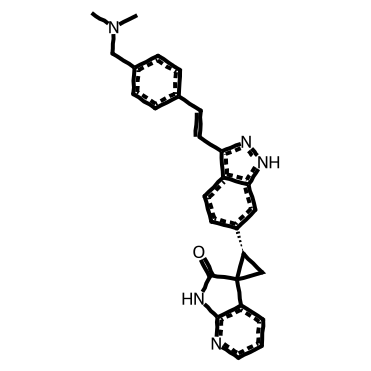 CN(C)Cc1ccc(/C=C/c2n[nH]c3cc([C@@H]4CC45C(=O)Nc4ncccc45)ccc23)cc1